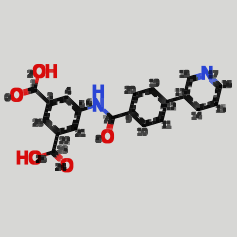 O=C(O)c1cc(NC(=O)c2ccc(-c3cccnc3)cc2)cc(C(=O)O)c1